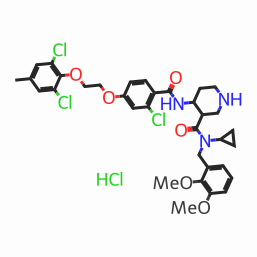 COc1cccc(CN(C(=O)C2CNCCC2NC(=O)c2ccc(OCCOc3c(Cl)cc(C)cc3Cl)cc2Cl)C2CC2)c1OC.Cl